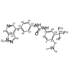 CN(C)Cc1ccc(NC(=O)Nc2ccc(-c3cncc4c3cnn4C)cc2)cc1C(F)(F)F